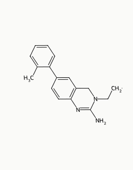 [CH2]CN1Cc2cc(-c3ccccc3C)ccc2N=C1N